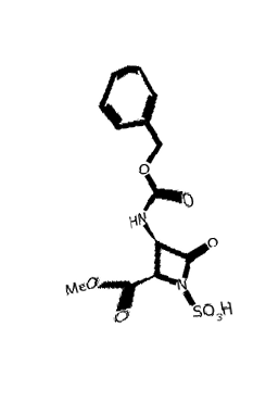 COC(=O)[C@H]1[C@@H](NC(=O)OCc2ccccc2)C(=O)N1S(=O)(=O)O